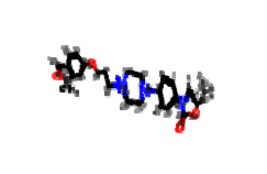 CCC1CN(c2ccc(N3CCN(CCCOc4ccc5c(c4)B(C)OC5)CC3)cc2)C(=O)O1